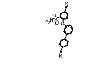 N#Cc1ccc(-c2cccc(Oc3ccc(C#N)cc3S(N)(=O)=O)c2)cc1